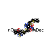 CCCCCCCCCCC(CCCCCCCC)CN1C(=O)c2c(c(-c3ccc(-c4ccc(-c5c(C)c(OCCCCCCCC)c(-c6ccccc6)c6nsnc56)s4)s3)c3nsnc3c2-c2ccc(-c3ccc(-c4ccccc4)s3)s2)C1=O